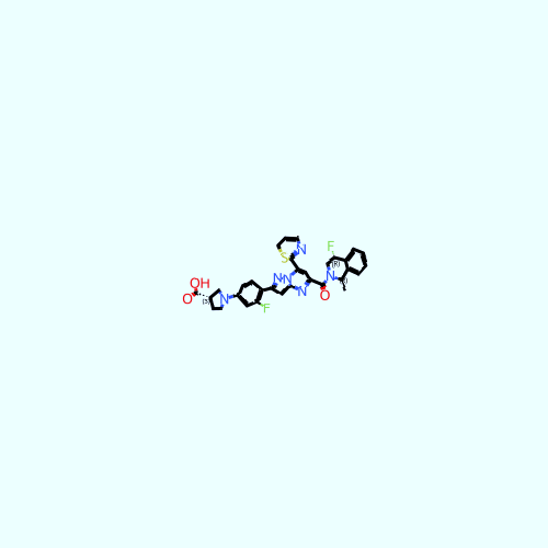 C[C@@H]1c2ccccc2[C@@H](F)CN1C(=O)c1cc(C2=NC=CCS2)n2nc(-c3ccc(N4CC[C@H](C(=O)O)C4)cc3F)cc2n1